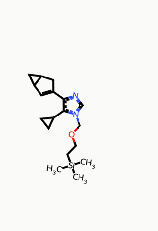 C[Si](C)(C)CCOCn1cnc(C2=CC3CC3C2)c1C1CC1